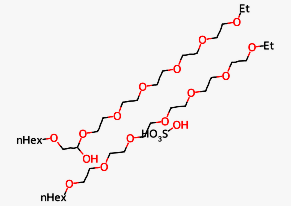 CCCCCCOCC(O)OCCOCCOCCOCCOCCOCC.CCCCCCOCCOCCOCCOCCOCCOCCOCC.O=S(=O)(O)O